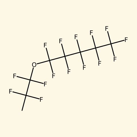 CC(F)(F)C(F)(F)OC(F)(F)C(F)(F)C(F)(F)C(F)(F)C(F)(F)F